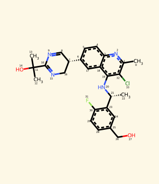 Cc1nc2ccc([C@H]3C=NC(C(C)(C)O)=NC3)cc2c(N[C@H](C)c2cc(CO)ccc2F)c1Cl